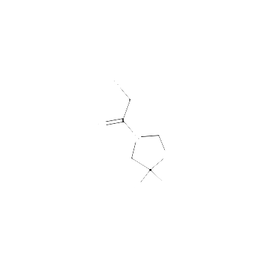 CC1(C)SCN(C(=O)CN)[C@H]1C=O